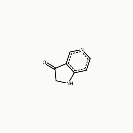 O=C1CNc2ccncc21